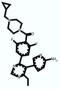 CCc1ncnc(-c2cc(F)c(C(=O)N3CCN(CC4CC4)CC3)c(F)c2)c1-c1ccc(N)nc1